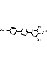 CCCCCc1ccc(-c2ccc(-c3nc(O)c(CC(C)CC)c(O)n3)cc2)cc1